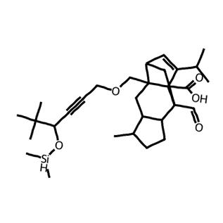 CC(C)C1=CC2CC3(C=O)C4CCC(C)C4CC2(COCC#CC(O[SiH](C)C)C(C)(C)C)C13C(=O)O